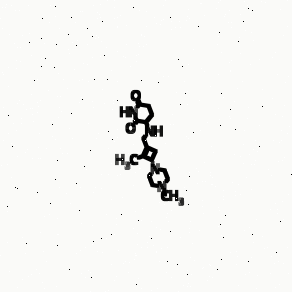 CC1=C(CNC2CCC(=O)NC2=O)C[C@@H]1N1CCN(C)CC1